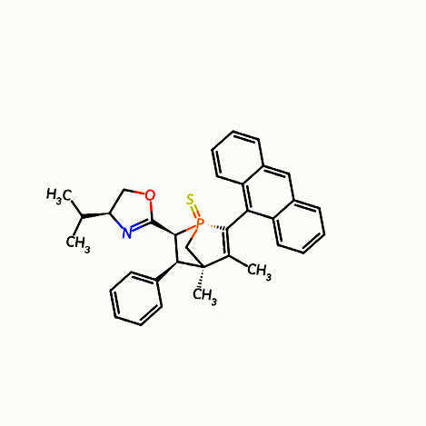 CC1=C(c2c3ccccc3cc3ccccc23)[P@]2(=S)C[C@]1(C)[C@@H](c1ccccc1)[C@H]2C1=N[C@@H](C(C)C)CO1